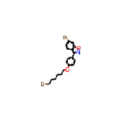 BrCCCCCCOc1ccc(-c2noc3cc(Br)ccc23)cc1